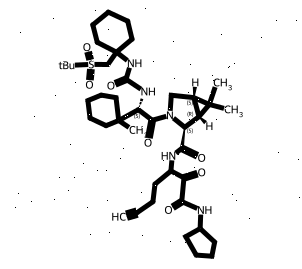 C#CCCC(NC(=O)[C@@H]1[C@@H]2[C@H](CN1C(=O)[C@@H](NC(=O)NC1(CS(=O)(=O)C(C)(C)C)CCCCC1)C1(C)CCCCC1)C2(C)C)C(=O)C(=O)NC1CCCC1